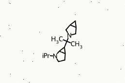 CC(C)N1CCC2C1C2C(C)(C)N1CC2CC2C1